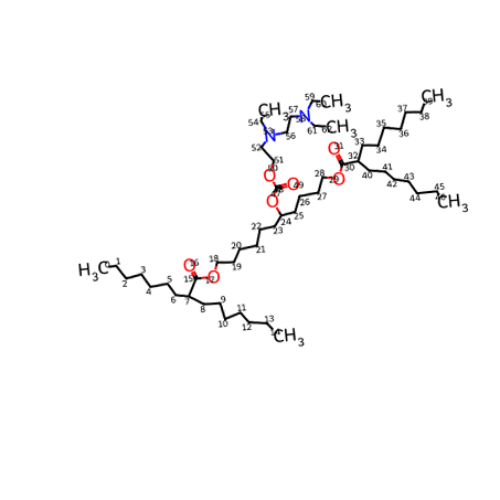 CCCCCCCC(CCCCCCC)C(=O)OCCCCCCC(CCCCOC(=O)C(CCCCCCC)CCCCCCC)OC(=O)OCCN(CC)CCN(CC)CC